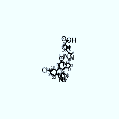 O=C(O)c1csc(-c2cnc([C@@H]3CCc4cc(-c5cc(Cl)ccc5-n5cnnn5)cc(=O)n43)[nH]2)n1